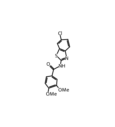 COc1ccc(C(=O)Nc2nc3ccc(Cl)cc3s2)cc1OC